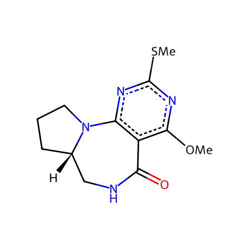 COc1nc(SC)nc2c1C(=O)NC[C@@H]1CCCN21